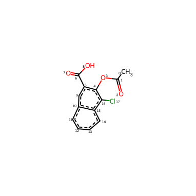 CC(=O)Oc1c(C(=O)O)cc2ccccc2c1Cl